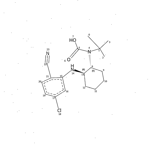 CC(C)(C)N(C(=O)O)[C@@H]1CCCC[C@H]1Nc1cc(Cl)ccc1C#N